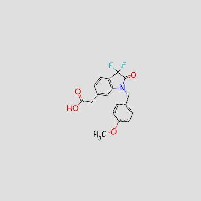 COc1ccc(CN2C(=O)C(F)(F)c3ccc(CC(=O)O)cc32)cc1